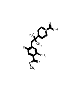 COC(=O)c1cc(F)c(CC(C)(C)C2CCN(C(=O)O)CC2)cc1C